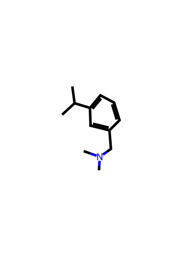 CC(C)c1cccc(CN(C)C)c1